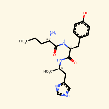 N[C@@H](CCC(=O)O)C(=O)N[C@@H](Cc1ccc(O)cc1)C(=O)N[C@@H](Cc1c[nH]cn1)C(=O)O